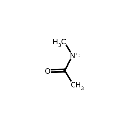 C[N+]C(C)=O